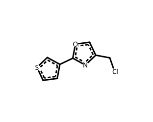 ClCc1coc(-c2ccsc2)n1